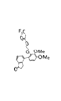 COc1ccc(-c2cccc3c2CCC3=O)c(OCCOC(=O)CC(F)(F)F)c1OC